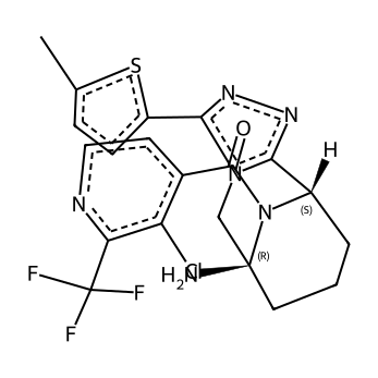 Cc1ccc(-c2nnc3n2C[C@@]2(N)CCC[C@@H]3N2C(=O)c2ccnc(C(F)(F)F)c2Cl)s1